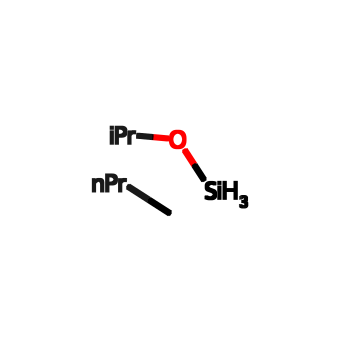 CC(C)O[SiH3].CCCC